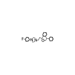 Fc1ccc(N2CCN(CCC3OCC(c4ccccc4)c4ccccc43)CC2)cc1